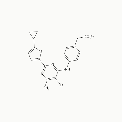 CCOC(=O)Cc1ccc(Nc2nc(-c3ccc(C4CC4)s3)nc(C)c2CC)cc1